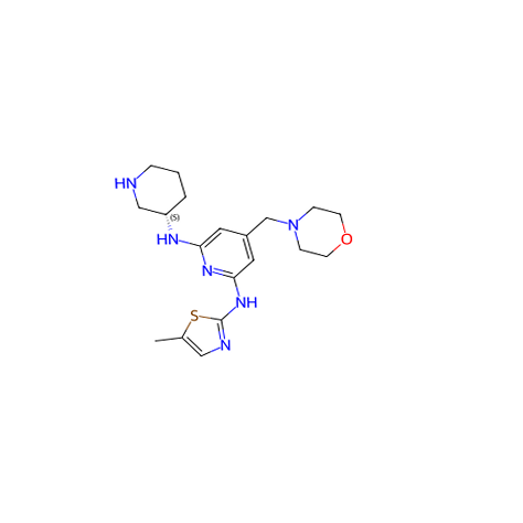 Cc1cnc(Nc2cc(CN3CCOCC3)cc(N[C@H]3CCCNC3)n2)s1